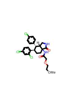 COCCOCC(=O)N[C@@]12CC[C@@H](c3ccc(Cl)cc3Cl)[C@H](c3ccc(Cl)cc3)[C@@H]1CNC2=O